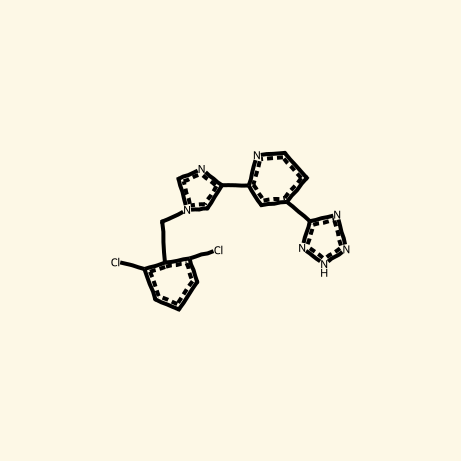 Clc1cccc(Cl)c1Cn1cnc(-c2cc(-c3nn[nH]n3)ccn2)c1